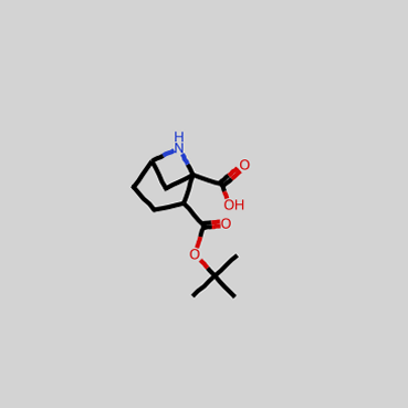 CC(C)(C)OC(=O)C1CCC2CC1(C(=O)O)N2